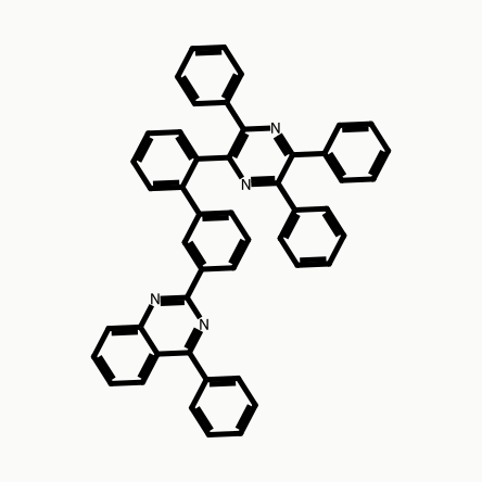 c1ccc(-c2nc(-c3ccccc3)c(-c3ccccc3-c3cccc(-c4nc(-c5ccccc5)c5ccccc5n4)c3)nc2-c2ccccc2)cc1